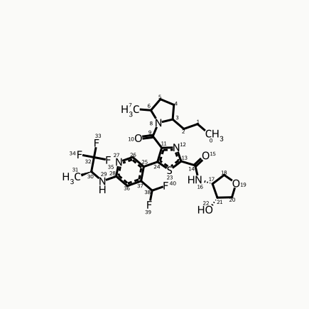 CCCC1CCC(C)N1C(=O)c1nc(C(=O)N[C@@H]2COC[C@@H]2O)sc1-c1cnc(N[C@@H](C)C(F)(F)F)cc1C(F)F